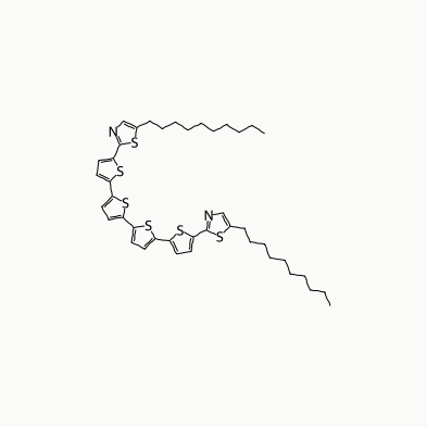 CCCCCCCCCCc1cnc(-c2ccc(-c3ccc(-c4ccc(-c5ccc(-c6ncc(CCCCCCCCCC)s6)s5)s4)s3)s2)s1